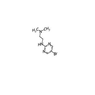 CN(C)CCNc1ncc(Br)cn1